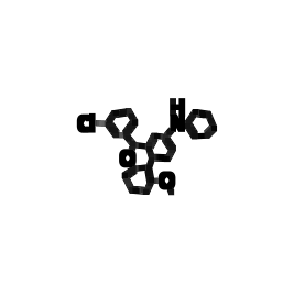 COc1cccc2c1-c1ccc(Nc3ccccc3)cc1C(c1cccc(Cl)c1)O2